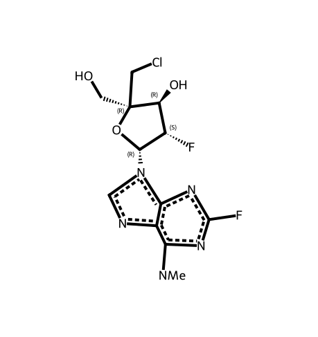 CNc1nc(F)nc2c1ncn2[C@@H]1O[C@@](CO)(CCl)[C@@H](O)[C@@H]1F